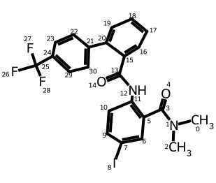 CN(C)C(=O)c1cc(I)ccc1NC(=O)c1ccccc1-c1ccc(C(F)(F)F)cc1